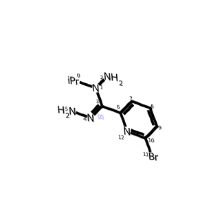 CC(C)N(N)/C(=N\N)c1cccc(Br)n1